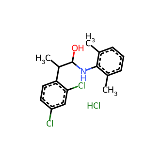 Cc1cccc(C)c1NC(O)C(C)c1ccc(Cl)cc1Cl.Cl